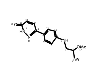 CCCC(CNc1ccc(-c2ccc(=O)[nH]n2)cc1)OC